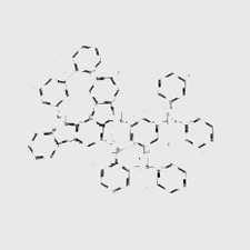 c1ccc(-c2cccc(-n3c4ccccc4c4cc5c6c(c7ccccc7n6-c6cc(N(c7ccccc7)c7ccccc7)cc7c6B5c5ccccc5N7c5ccccc5)c43)c2)cc1